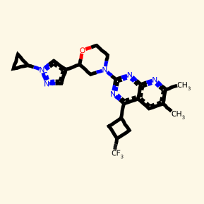 Cc1cc2c(C3CC(C(F)(F)F)C3)nc(N3CCOC(c4cnn(C5CC5)c4)C3)nc2nc1C